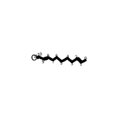 CC=CCCCCCC=CC=O